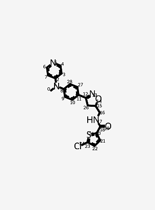 CN(c1ccncc1)c1ccc(C2=NOC(CNC(=O)c3ccc(Cl)s3)C2)cc1